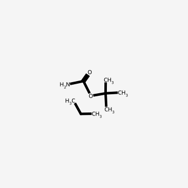 CC(C)(C)OC(N)=O.CCC